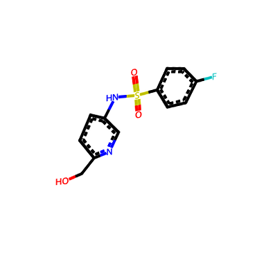 O=S(=O)(Nc1ccc(CO)nc1)c1ccc(F)cc1